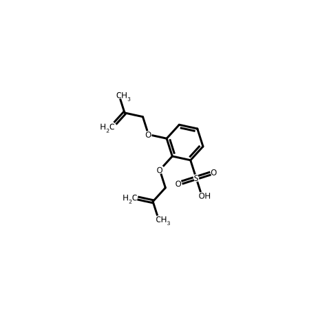 C=C(C)COc1cccc(S(=O)(=O)O)c1OCC(=C)C